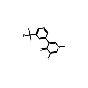 Cn1cc(Cl)c(=O)c(-c2cccc(C(F)(F)F)c2)c1